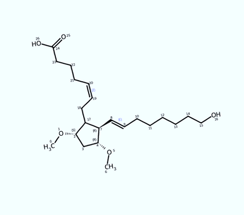 CO[C@H]1C[C@@H](OC)[C@H](/C=C/CCCCCCO)C1C/C=C\CCCC(=O)O